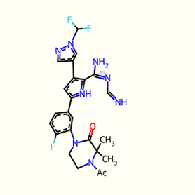 CC(=O)N1CCN(c2cc(-c3cc(-c4cnn(C(F)F)c4)c(/C(N)=N\C=N)[nH]3)ccc2F)C(=O)C1(C)C